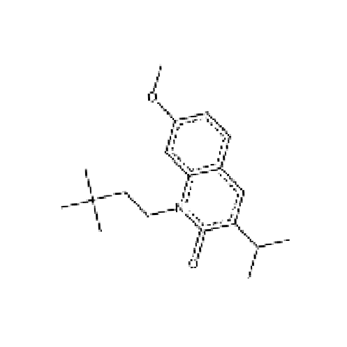 COc1ccc2cc(C(C)C)c(=O)n(CCC(C)(C)C)c2c1